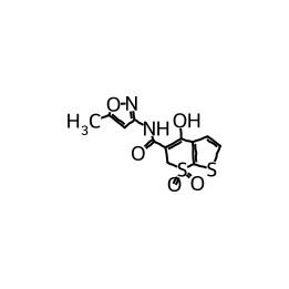 Cc1cc(NC(=O)C2=C(O)c3ccsc3S(=O)(=O)C2)no1